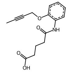 CC#CCOc1ccccc1NC(=O)CCCC(=O)O